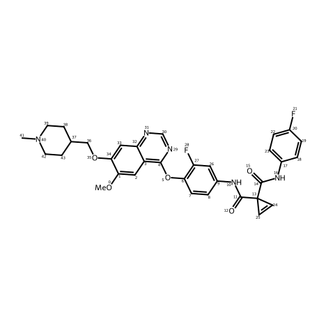 COc1cc2c(Oc3ccc(NC(=O)C4(C(=O)Nc5ccc(F)cc5)C=C4)cc3F)ncnc2cc1OCC1CCN(C)CC1